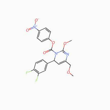 COCC1=CC(c2ccc(F)c(F)c2)N(C(=O)Oc2ccc([N+](=O)[O-])cc2)C(OC)=N1